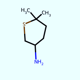 CC1(C)CCC(N)CS1